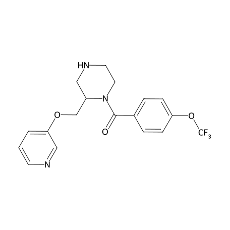 O=C(c1ccc(OC(F)(F)F)cc1)N1CCNCC1COc1cccnc1